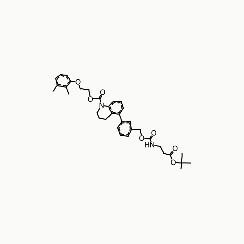 Cc1cccc(OCCOC(=O)N2CCCc3c(-c4cccc(COC(=O)NCCC(=O)OC(C)(C)C)c4)cccc32)c1C